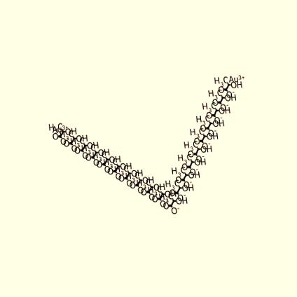 CC(O)C(=O)[O-].CC(O)C(=O)[O-].CC(O)C(=O)[O-].CC(O)C(=O)[O-].CC(O)C(=O)[O-].CC(O)C(=O)[O-].CC(O)C(=O)[O-].CC(O)C(=O)[O-].CC(O)C(=O)[O-].CC(O)C(=O)[O-].CC(O)C(=O)[O-].CC(O)C(=O)[O-].CC(O)C(=O)[O-].CC(O)C(=O)[O-].CC(O)C(=O)[O-].CC(O)C(=O)[O-].CC(O)C(=O)[O-].CC(O)C(=O)[O-].CC(O)C(=O)[O-].CC(O)C(=O)[O-].[Au+3].[Au+3]